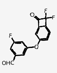 O=Cc1cc(F)cc(OC2=C=C=C3C(=C2)C(=O)C3(F)F)c1